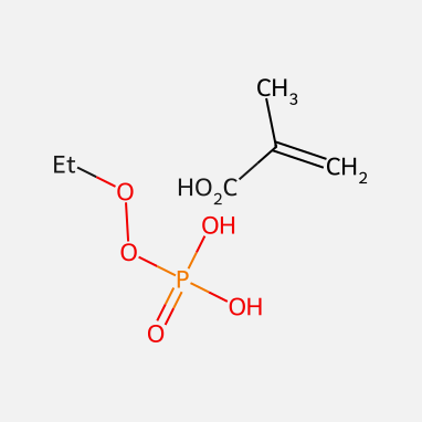 C=C(C)C(=O)O.CCOOP(=O)(O)O